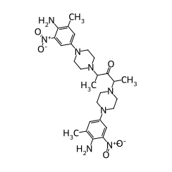 Cc1cc(N2CCN(C(C)C(=O)C(C)N3CCN(c4cc(C)c(N)c([N+](=O)[O-])c4)CC3)CC2)cc([N+](=O)[O-])c1N